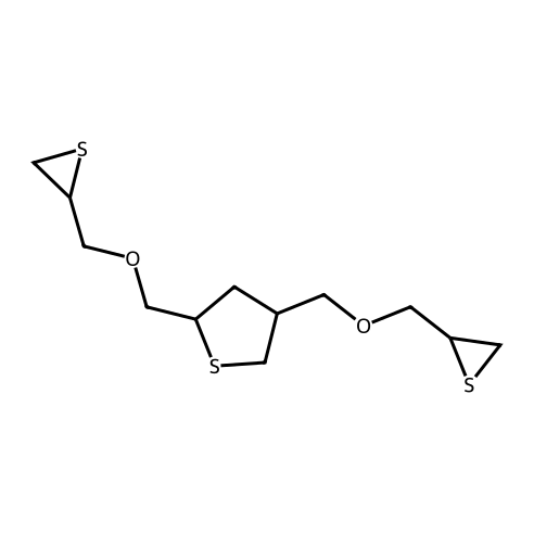 C(OCC1CS1)C1CSC(COCC2CS2)C1